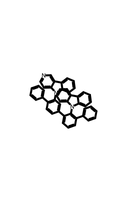 c1ccc(-c2ccc(-c3cccc(-c4ccccc4)c3-n3c4ccccc4c4ccccc43)cc2-n2c3ccccc3c3cnccc32)cc1